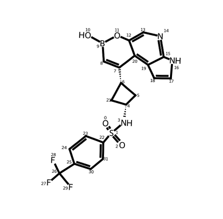 O=S(=O)(N[C@H]1C[C@@H](C2=CB(O)Oc3cnc4[nH]ccc4c32)C1)c1ccc(C(F)(F)F)cc1